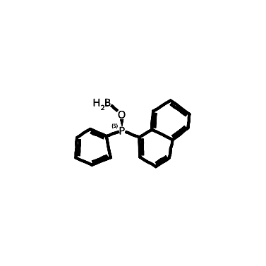 BO[P@](c1ccccc1)c1cccc2ccccc12